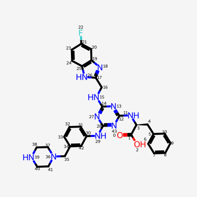 O=C(O)[C@H](Cc1ccccc1)Nc1nc(NCc2nc3cc(F)ccc3[nH]2)nc(Nc2cccc(CN3CCNCC3)c2)n1